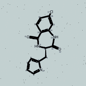 O=C1N[C@H](Cc2ccccn2)C(=O)Nc2cc(Cl)ccc21